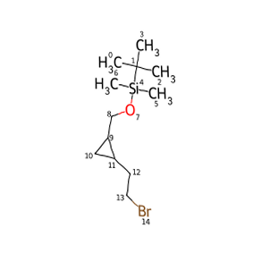 CC(C)(C)[Si](C)(C)OCC1CC1CCBr